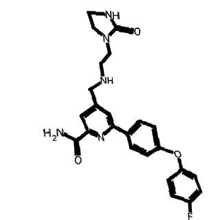 NC(=O)c1cc(CNCCN2CCNC2=O)cc(-c2ccc(Oc3ccc(F)cc3)cc2)n1